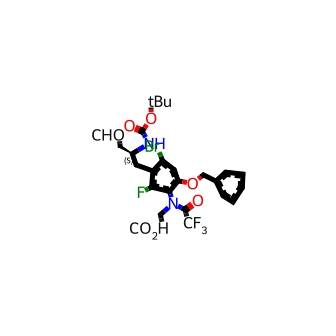 CC(C)(C)OC(=O)N[C@H](CC=O)Cc1c(Br)cc(OCc2ccccc2)c(N(CC(=O)O)C(=O)C(F)(F)F)c1F